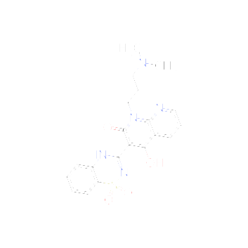 CN(C)CCCn1c(=O)c(C2=NS(=O)(=O)c3ccccc3N2)c(O)c2cccnc21